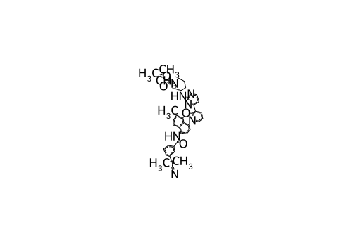 Cc1ccc2c(NC(=O)c3cccc(C(C)(C)C#N)c3)cccc2c1Oc1ncccc1-c1ccnc(N[C@H]2CCCN(C(=O)OC(C)(C)C)C2)n1